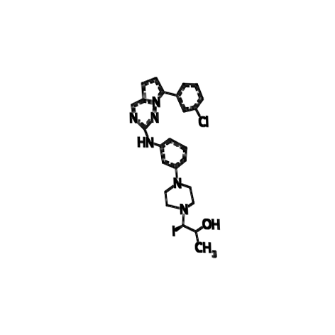 CC(O)[C@@H](I)N1CCN(c2cccc(Nc3ncc4ccc(-c5cccc(Cl)c5)n4n3)c2)CC1